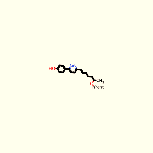 CCCCCOC(C)CCCC=Cc1ccc(-c2ccc(O)cc2)nn1